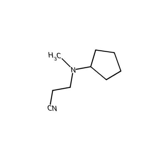 CN(CCC#N)C1CCCC1